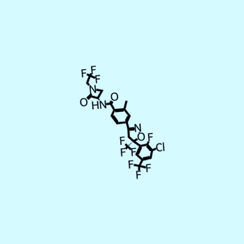 Cc1cc(C2=NO[C@](c3cc(C(F)(F)F)cc(Cl)c3F)(C(F)(F)F)C2)ccc1C(=O)N[C@H]1CN(CC(F)(F)F)C1=O